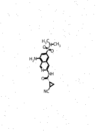 CN(C)S(=O)(=O)c1cc(N)c2cnc(NC(=O)[C@@H]3C[C@H]3C#N)cc2c1